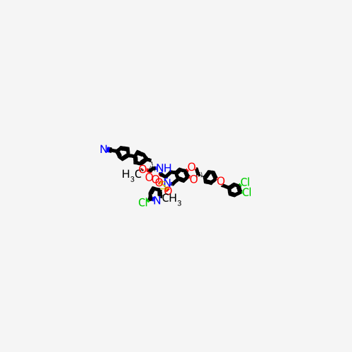 COC(=O)[C@H](Cc1ccc(-c2ccc(C#N)cc2)cc1)NC(=O)C1Cc2cc3c(cc2CN1S(=O)(=O)c1ccc(Cl)nc1C)O[C@@H](c1ccc(OCc2ccc(Cl)c(Cl)c2)cc1)CO3